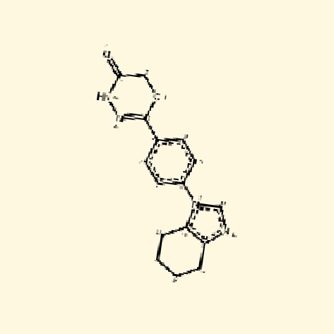 O=C1COC(c2ccc(-n3cnc4c3CCCC4)cc2)=NN1